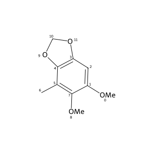 COc1cc2c(c(C)c1OC)OCO2